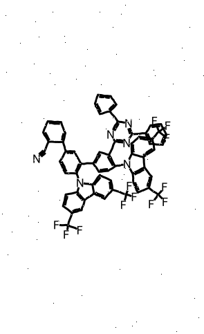 N#Cc1ccccc1-c1ccc(-n2c3ccc(C(F)(F)F)cc3c3cc(C(F)(F)F)ccc32)c(-c2ccc(-n3c4ccc(C(F)(F)F)cc4c4cc(C(F)(F)F)ccc43)c(-c3nc(-c4ccccc4)nc(-c4ccccc4)n3)c2)c1